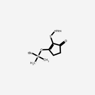 CCCCCCSC1=C(O[Si](C)(C)C(C)(C)C)CCC1=O